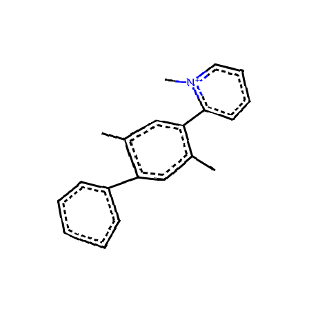 Cc1cc(-c2cccc[n+]2C)c(C)cc1-c1ccccc1